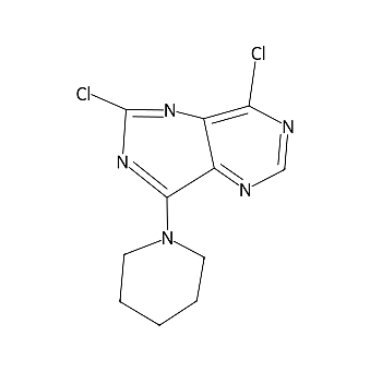 Clc1nc(N2CCCCC2)c2ncnc(Cl)c2n1